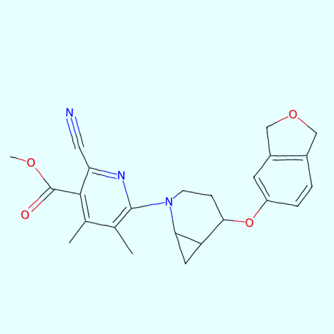 COC(=O)c1c(C#N)nc(N2CCC(Oc3ccc4c(c3)COC4)C3CC32)c(C)c1C